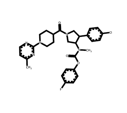 Cc1ccnc(N2CCC(C(=O)N3CC(c4ccc(Cl)cc4)C(N(C)C(=O)Oc4ccc(F)cc4)C3)CC2)n1